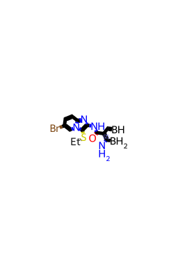 B=C/C(C(=O)Nc1nc2ccc(Br)cn2c1SCC)=C(\B)N